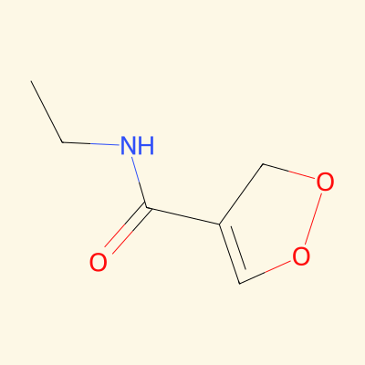 CCNC(=O)C1=COOC1